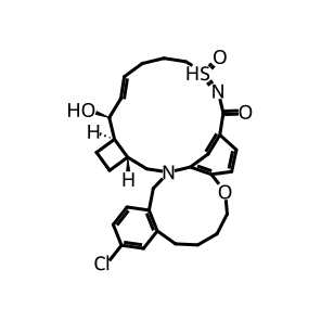 O=C1/N=[SH](=O)\CCC/C=C/[C@H](O)[C@@H]2CC[C@H]2CN2Cc3ccc(Cl)cc3CCCCOc3ccc1cc32